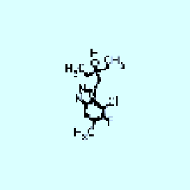 CCC(O)(CC)Cn1nnc2cc(C)c(F)c(Cl)c21